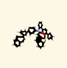 c1ccc(-c2ccc(-c3ccccc3N(c3ccc(-c4cccc(-c5ccc6ccccc6c5)c4)cc3)c3ccc4sc5ccccc5c4c3)cc2)cc1